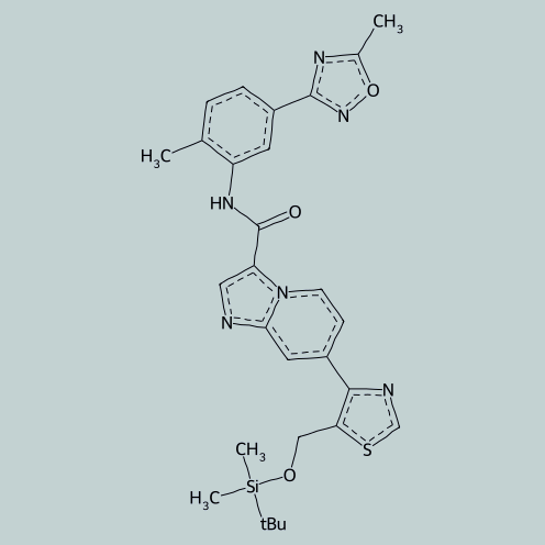 Cc1nc(-c2ccc(C)c(NC(=O)c3cnc4cc(-c5ncsc5CO[Si](C)(C)C(C)(C)C)ccn34)c2)no1